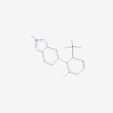 O=c1[nH]c2ccc(-c3c(Cl)cccc3C(F)(F)F)cc2[nH]1